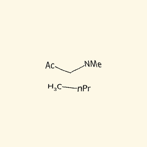 CCCC.CNCC(C)=O